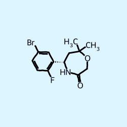 CC1(C)C[C@@H](c2cc(Br)ccc2F)NC(=O)CO1